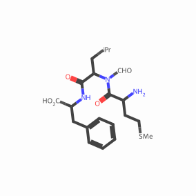 CSCCC(N)C(=O)N(C=O)C(CC(C)C)C(=O)NC(Cc1ccccc1)C(=O)O